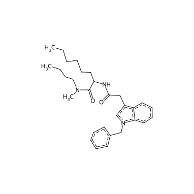 CCCCCCC(NC(=O)Cc1cn(Cc2ccccc2)c2ccccc12)C(=O)N(C)CCCC